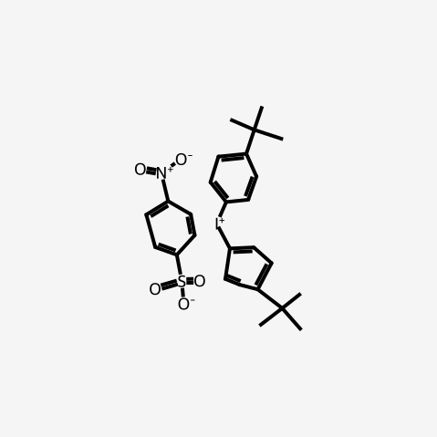 CC(C)(C)c1ccc([I+]c2ccc(C(C)(C)C)cc2)cc1.O=[N+]([O-])c1ccc(S(=O)(=O)[O-])cc1